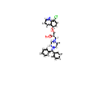 OC(COc1ccc(Cl)c2ncccc12)CN1CCN(C(c2ccccc2)c2ccccc2)CC1